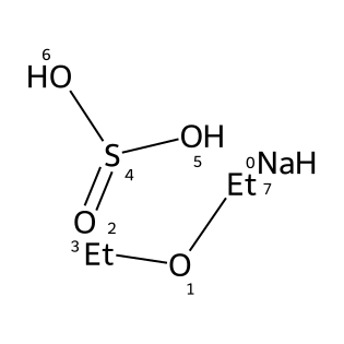 CCOCC.O=S(O)O.[NaH]